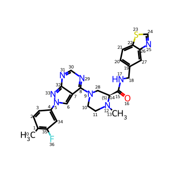 Cc1ccc(-n2cc3c(N4CCN(C)[C@H](C(=O)NCc5ccc6scnc6c5)C4)ncnc3n2)cc1F